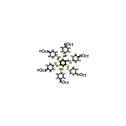 CCCCCCCC[C@H]1CC[C@H](CSc2c(SC[C@H]3CC[C@H](CCCCCCCC)CC3)c(SC[C@H]3CC[C@H](CCCCCCCC)CC3)c(SC[C@H]3CC[C@H](CCCCCCCC)CC3)c(SC[C@H]3CC[C@H](CCCCCCCC)CC3)c2SC[C@H]2CC[C@H](CCCCCCCC)CC2)CC1